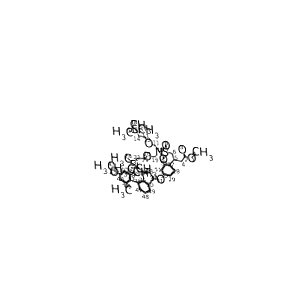 COC(=O)CC(CS(=O)(=O)N(COCC[Si](C)(C)C)COCC[Si](C)(C)C)c1ccc(O[C@@H]2CCc3c(-c4c(C)cc(OC)cc4C)cccc32)cc1